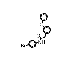 O=C(Cc1cccc(Oc2ccccc2)c1)Nc1ccc(Br)cc1